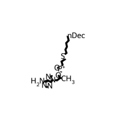 CCCCCCCCCCCCCCCCSCCC/[P+]([O-])=C/OC(C)Cn1cnc2c(N)ncnc21